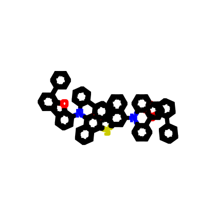 c1ccc(-c2ccccc2N(c2cc3c(sc4cc(N(c5ccccc5-c5ccccc5)c5cccc6c5oc5c(-c7ccccc7)cccc56)c5ccccc5c43)c3ccccc23)c2cccc3c2oc2c(-c4ccccc4)cccc23)cc1